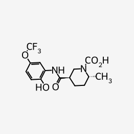 C[C@@H]1CC[C@@H](C(=O)Nc2cc(OC(F)(F)F)ccc2O)CN1C(=O)O